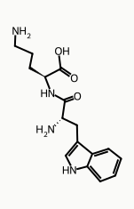 NCCC[C@H](NC(=O)[C@@H](N)Cc1c[nH]c2ccccc12)C(=O)O